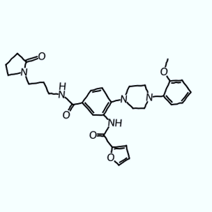 COc1ccccc1N1CCN(c2ccc(C(=O)NCCCN3CCCC3=O)cc2NC(=O)c2ccco2)CC1